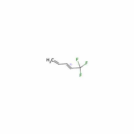 C=C/C=C/C(F)(F)F